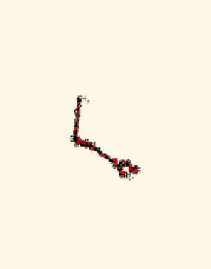 CCN(CC)c1ccc(NC(=O)c2cccc(CCCOCCOCCOCCOCCNS(=O)(=O)c3ccc(C(=O)N4CCN(CCOCCOCCOCCOCCOCCOCCOC)C(=O)C4)cc3)c2)c(-c2cc(C(=O)NCc3cccc(C(F)(F)F)c3)ccn2)c1